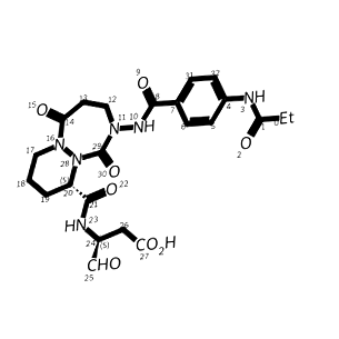 CCC(=O)Nc1ccc(C(=O)NN2CCC(=O)N3CCC[C@@H](C(=O)N[C@H](C=O)CC(=O)O)N3C2=O)cc1